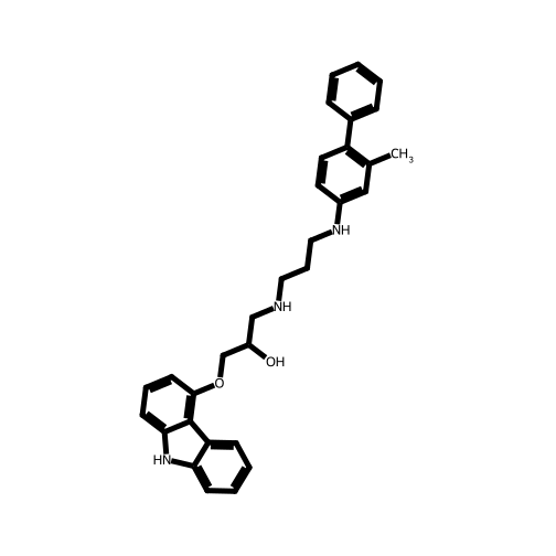 Cc1cc(NCCCNCC(O)COc2cccc3[nH]c4ccccc4c23)ccc1-c1ccccc1